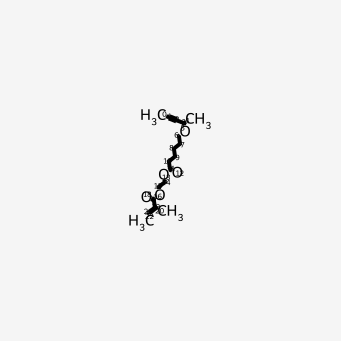 CC#CC(C)OCCCCCC(=O)OCCOC(=O)/C(C)=C/C